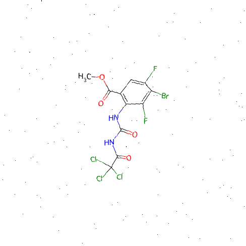 COC(=O)c1cc(F)c(Br)c(F)c1NC(=O)NC(=O)C(Cl)(Cl)Cl